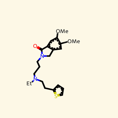 CCN(CCCN1Cc2cc(OC)c(OC)cc2C1=O)CCc1cccs1